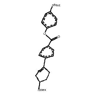 CCCCCCC1CC=C(c2ccc(C(=O)Oc3ccc(CCCCC)cc3)cc2)CC1